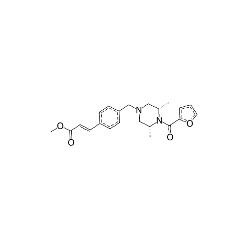 COC(=O)/C=C/c1ccc(CN2C[C@@H](C)N(C(=O)c3ccco3)[C@@H](C)C2)cc1